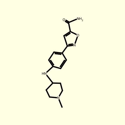 CN1CCC(Nc2ccc(-c3cc(C(N)=O)on3)cc2)CC1